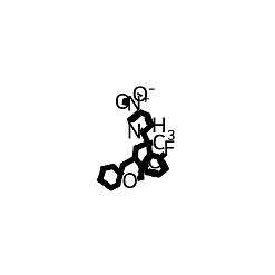 CC(CC1CC2(CCCCC2)OCC1=O)(c1ccc([N+](=O)[O-])cn1)c1ccccc1F